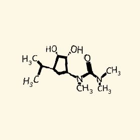 CC(C)[C@@H]1C[C@H](N(C)C(=O)N(C)C)[C@@H](O)[C@H]1O